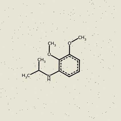 COc1cccc(NC(C)C)c1OC